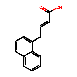 O=C(O)C=CCc1cccc2ccccc12